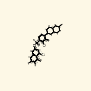 CC1CCC2CC(c3ccc(C(F)(F)Oc4cc(Cl)c5c(F)c(F)c(F)cc5c4)c(Cl)c3F)CCC2C1